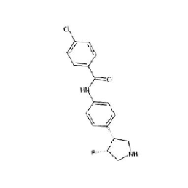 O=C(Nc1ccc([C@@H]2CNC[C@@H]2F)cc1)c1ccc(Cl)cc1